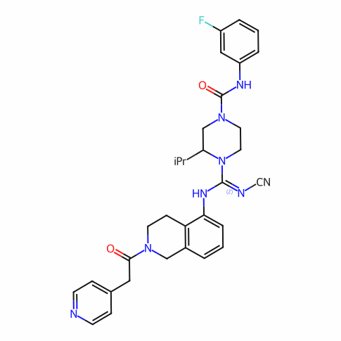 CC(C)C1CN(C(=O)Nc2cccc(F)c2)CCN1/C(=N\C#N)Nc1cccc2c1CCN(C(=O)Cc1ccncc1)C2